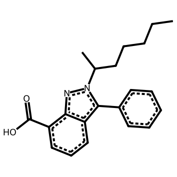 CCCCCC(C)n1nc2c(C(=O)O)cccc2c1-c1ccccc1